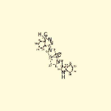 Cc1nnc(N2CCC3(CCCN(Cc4c[nH]c5ccccc45)C3=O)CC2)c2ccccc12